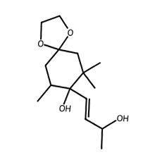 CC(O)C=CC1(O)C(C)CC2(CC1(C)C)OCCO2